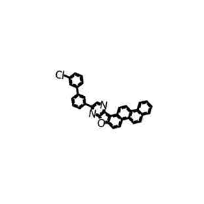 Clc1cccc(-c2cccc(-c3cnc4c(n3)oc3ccc5c6ccc7ccccc7c6ccc5c34)c2)c1